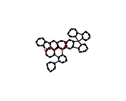 c1ccc(-c2ccccc2-c2c(-c3ccccc3)cccc2N(c2ccc3c(c2)-c2ccccc2C32c3ccccc3-c3ccccc32)c2ccc3c(c2)oc2ccccc23)cc1